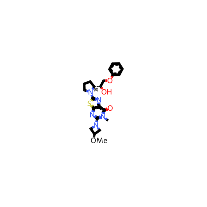 COC1CN(c2nc3sc(N4CCC[C@@H]4C(O)COc4ccccc4)nc3c(=O)n2C)C1